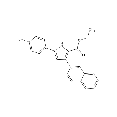 CCOC(=O)c1[nH]c(-c2ccc(Cl)cc2)cc1-c1ccc2ccccc2c1